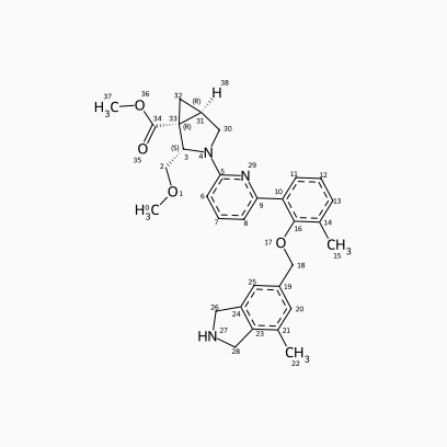 COC[C@H]1N(c2cccc(-c3cccc(C)c3OCc3cc(C)c4c(c3)CNC4)n2)C[C@@H]2C[C@@]21C(=O)OC